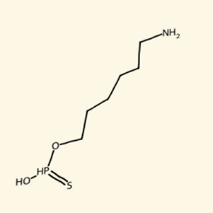 NCCCCCCO[PH](O)=S